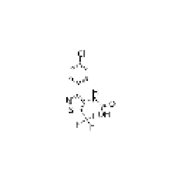 O=C(O)Nc1c(-c2ccc(Cl)cc2)nsc1C(F)(F)F